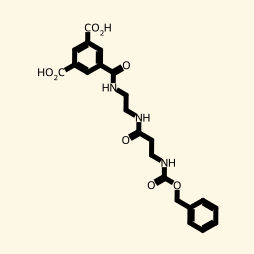 O=C(CCNC(=O)OCc1ccccc1)NCCNC(=O)c1cc(C(=O)O)cc(C(=O)O)c1